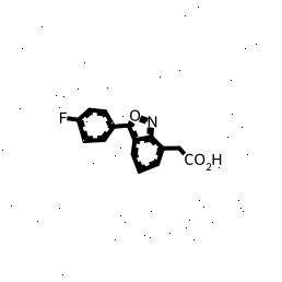 O=C(O)Cc1cccc2c(-c3ccc(F)cc3)onc12